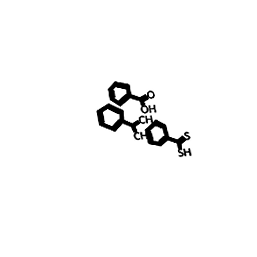 CC(C)c1ccccc1.O=C(O)c1ccccc1.S=C(S)c1ccccc1